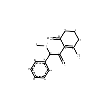 COC(C(=O)C1=C(Cl)CCCC1=O)c1ccccc1